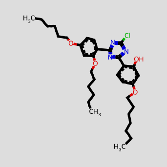 CCCCCCCOc1ccc(-c2nc(Cl)nc(-c3ccc(OCCCCCC)cc3OCCCCCC)n2)c(O)c1